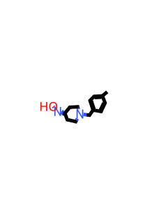 Cc1ccc(CN2CCC(=NO)CC2)cc1